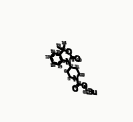 CC(C)(C)OC(=O)N1CCC(N2C(=O)OC(C)(C)c3ccccc32)CC1